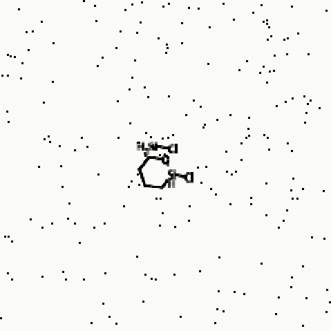 Cl[SiH]1CCCCO1.[SiH3]Cl